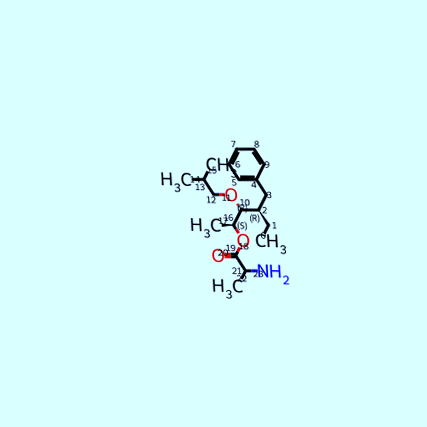 CC[C@H](Cc1ccccc1)[C@@H](OCC(C)C)[C@H](C)OC(=O)C(C)N